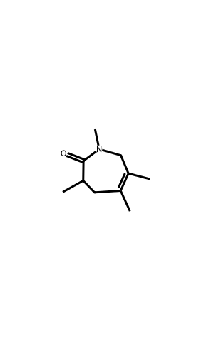 CC1=C(C)CN(C)C(=O)C(C)C1